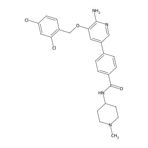 CN1CCC(NC(=O)c2ccc(-c3cnc(N)c(OCc4ccc(Cl)cc4Cl)c3)cc2)CC1